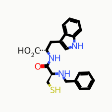 O=C(O)[C@H](Cc1c[nH]c2ccccc12)NC(=O)[C@H](CS)NCc1ccccc1